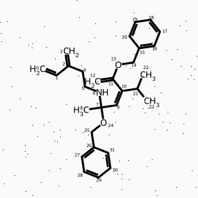 C=CC(=C)CCNC(C)(/C=C(\C(=C)OCc1ccccc1)C(C)C)OCc1ccccc1